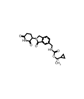 C[C@H](OC(=O)NCc1ccc2c(c1)C(=O)N(C1CCC(=O)NC1=O)C2)C1CC1